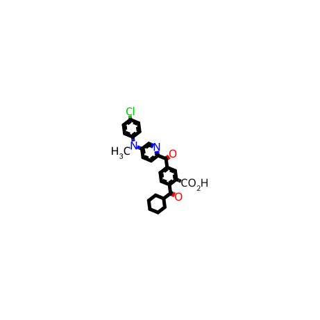 CN(c1ccc(Cl)cc1)c1ccc(C(=O)c2ccc(C(=O)C3CCCCC3)c(C(=O)O)c2)nc1